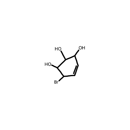 OC1C=CC(Br)C(O)C1O